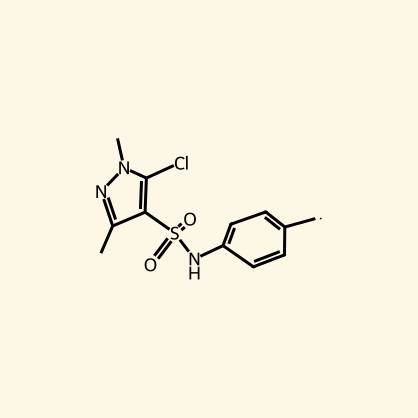 [CH2]c1ccc(NS(=O)(=O)c2c(C)nn(C)c2Cl)cc1